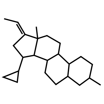 C/C=C1\CC(C2CC2)C2C3CCC4CC(C)CCC4C3CCC12C